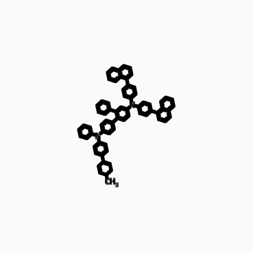 CC1C=CC(c2ccc(N(c3ccccc3)c3ccc(-c4ccc(N(c5ccc(-c6cccc7ccccc67)cc5)c5ccc(-c6cccc7ccccc67)cc5)cc4-c4ccccc4)cc3)cc2)=CC1